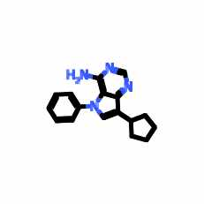 Nc1ncnc2c(C3CCCC3)cn(-c3ccccc3)c12